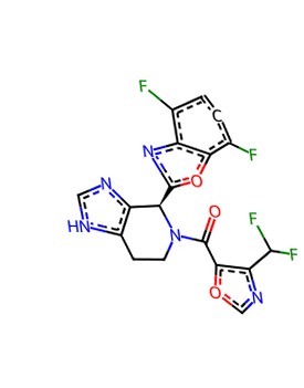 O=C(c1ocnc1C(F)F)N1CCc2[nH]cnc2[C@H]1c1nc2c(F)ccc(F)c2o1